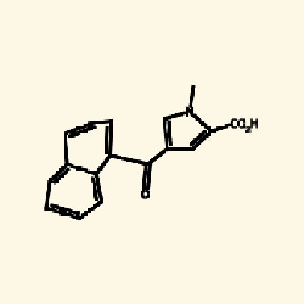 Cn1cc(C(=O)c2cccc3ccccc23)cc1C(=O)O